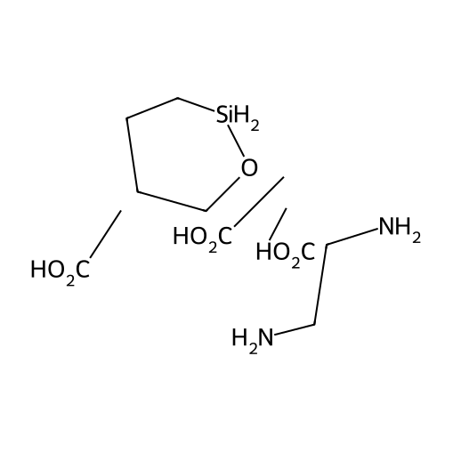 C1CC[SiH2]OC1.CC(=O)O.CC(=O)O.CC(=O)O.NCCN